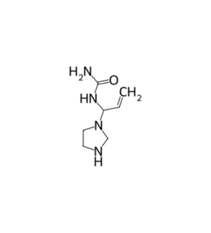 C=CC(NC(N)=O)N1CCNC1